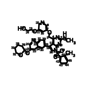 CNc1nc(COc2cncc(OCCO)c2)c2c(-c3ccc4ncc(OC5CCCCO5)cc4c3)cn(S(=O)(=O)c3ccccc3C)c2n1